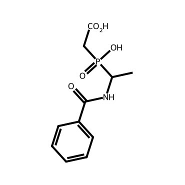 CC(NC(=O)c1ccccc1)P(=O)(O)CC(=O)O